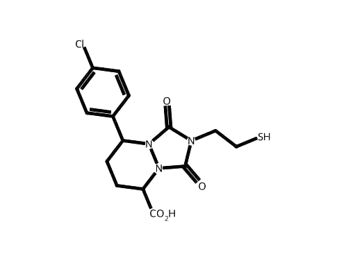 O=C(O)C1CCC(c2ccc(Cl)cc2)n2c(=O)n(CCS)c(=O)n21